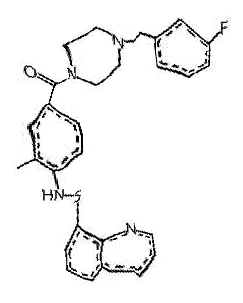 Cc1cc(C(=O)N2CCN(Cc3cccc(F)c3)CC2)ccc1NSc1cccc2cccnc12